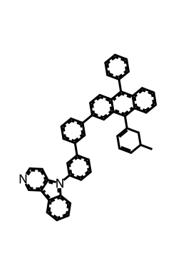 CC1C=CC=C(c2c3ccccc3c(-c3ccccc3)c3ccc(-c4cccc(-c5cccc(-n6c7ccccc7c7cnccc76)c5)c4)cc23)C1